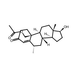 CC(=O)OC[C@]12CCC(=O)C=C1[C@@H](C)C[C@@H]1[C@@H]2CC[C@]2(C)[C@@H](O)CC[C@@H]12